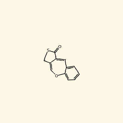 O=C1SCC2=COc3ccccc3C=C12